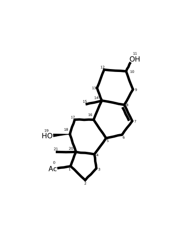 CC(=O)C1CCC2C3CC=C4CC(O)CCC4(C)C3C[C@H](O)C12C